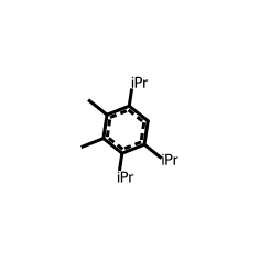 Cc1c(C(C)C)cc(C(C)C)c(C(C)C)c1C